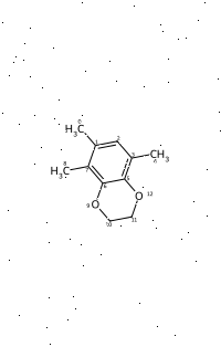 Cc1cc(C)c2c(c1C)OCCO2